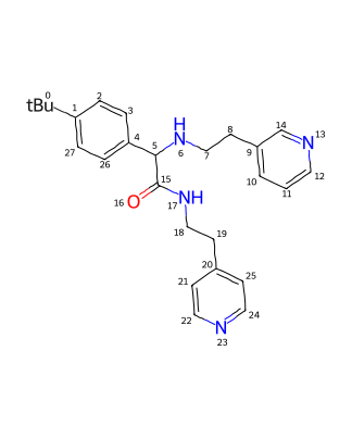 CC(C)(C)c1ccc(C(NCCc2cccnc2)C(=O)NCCc2ccncc2)cc1